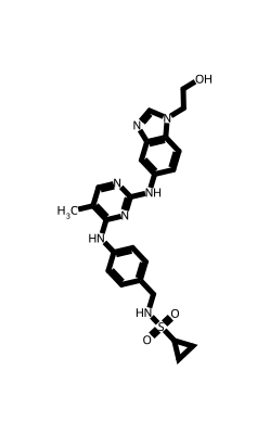 Cc1cnc(Nc2ccc3c(c2)ncn3CCO)nc1Nc1ccc(CNS(=O)(=O)C2CC2)cc1